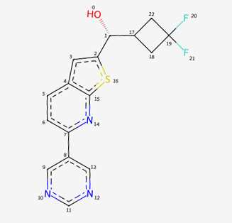 O[C@@H](c1cc2ccc(-c3cncnc3)nc2s1)C1CC(F)(F)C1